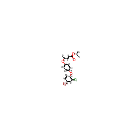 CC(C)OC(=O)C=CC(C)Oc1ccc(Oc2ccc(Br)cc2Cl)cc1